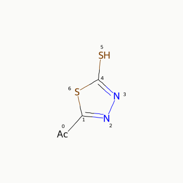 CC(=O)c1nnc(S)s1